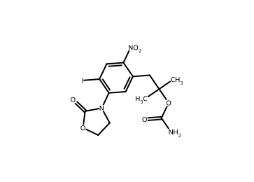 CC(C)(Cc1cc(N2CCOC2=O)c(I)cc1[N+](=O)[O-])OC(N)=O